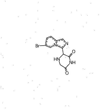 O=C1CNC(c2ncc3ccc(Br)cn23)C(=O)N1